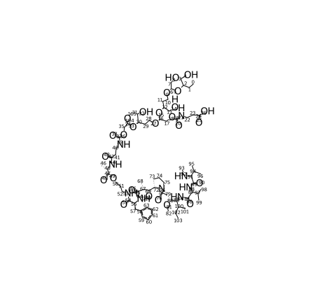 CCC(CO)OC(CO)OCCC(CO)OC(COC(=O)NCCC(=O)O)OCCC(CO)OC(COC(=O)NCCC(=O)N[C@@H](C)C(=O)OCCCNC(=O)[C@H](Cc1ccccc1)NC(=O)[C@H](C)[C@@H](OC)[C@@H]1CCCN1C(=O)C[C@@H](OC)[C@@H](NC(=O)[C@@H](NC(=O)[C@@H](NC)C(C)C)C(C)C)[C@@H](C)CC)OC